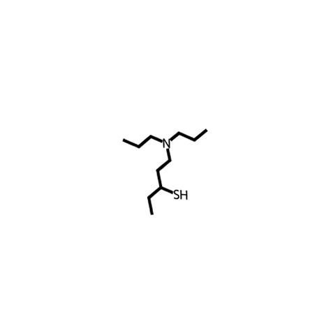 CCCN(CCC)CCC(S)CC